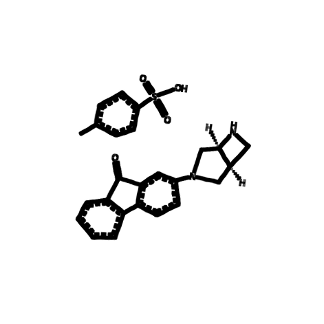 Cc1ccc(S(=O)(=O)O)cc1.O=C1c2ccccc2-c2ccc(N3C[C@@H]4CN[C@@H]4C3)cc21